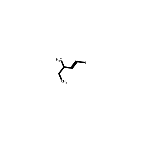 CCC(C)C=CI